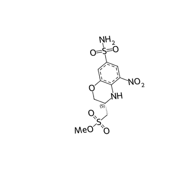 COS(=O)(=O)C[C@@H]1COc2cc(S(N)(=O)=O)cc([N+](=O)[O-])c2N1